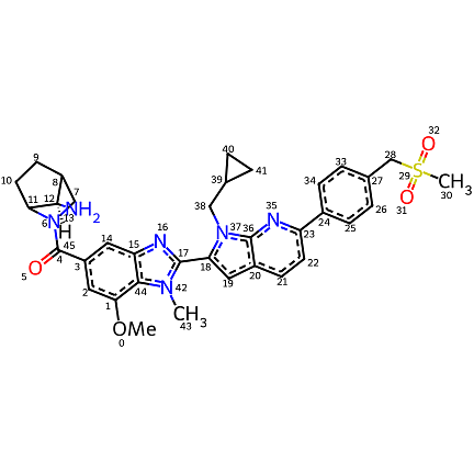 COc1cc(C(=O)N2CC3CCC2[C@@H]3N)cc2nc(-c3cc4ccc(-c5ccc(CS(C)(=O)=O)cc5)nc4n3CC3CC3)n(C)c12